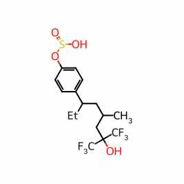 CCC(CC(C)CC(O)(C(F)(F)F)C(F)(F)F)c1ccc(OS(=O)O)cc1